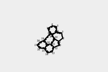 C1=C2CC=c3cccc4c3c2c2c1ccc1cccc4c12